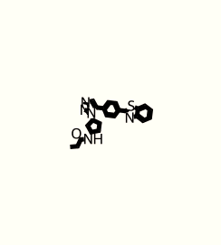 CCC(=O)N[C@H]1CCC(n2nncc2-c2ccc(-c3nc4ccccc4s3)cc2)C1